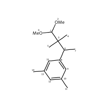 COC(OC)C(C)(C)C(C)c1cc(C)cc(C)c1